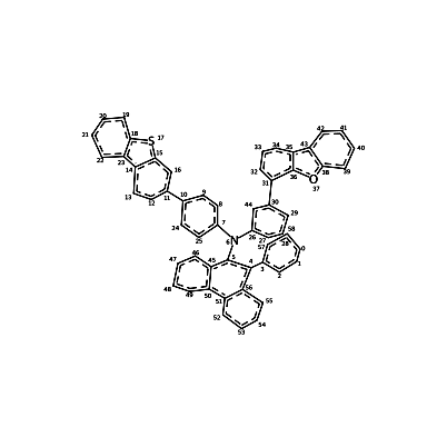 c1ccc(-c2c(N(c3ccc(-c4ccc5c(c4)sc4ccccc45)cc3)c3cccc(-c4cccc5c4oc4ccccc45)c3)c3ccccc3c3ccccc23)cc1